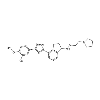 CC(C)Oc1ccc(-c2nnc(-c3cccc4c3CCC4NSCCN3CCCC3)s2)cc1C#N